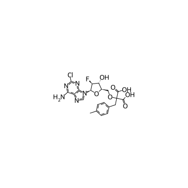 Cc1ccc(CC(OC[C@H]2O[C@@H](n3cnc4c(N)nc(Cl)nc43)[C@@H](F)[C@@H]2O)(C(=O)O)C(=O)O)cc1